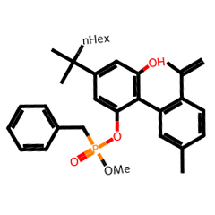 C=C(C)c1ccc(C)cc1-c1c(O)cc(C(C)(C)CCCCCC)cc1OP(=O)(Cc1ccccc1)OC